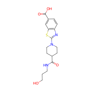 O=C(O)c1ccc2nc(N3CCC(C(=O)NCCCO)CC3)sc2c1